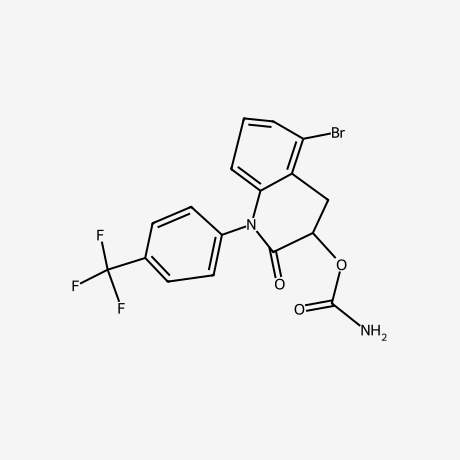 NC(=O)OC1Cc2c(Br)cccc2N(c2ccc(C(F)(F)F)cc2)C1=O